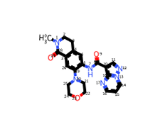 CN1CCc2cc(NC(=O)c3cnn4cccnc34)c(N3CCOCC3)cc2C1=O